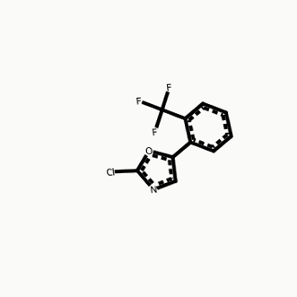 FC(F)(F)c1ccccc1-c1cnc(Cl)o1